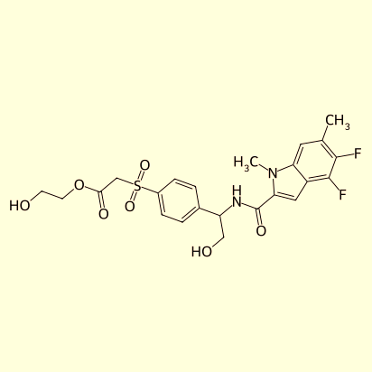 Cc1cc2c(cc(C(=O)NC(CO)c3ccc(S(=O)(=O)CC(=O)OCCO)cc3)n2C)c(F)c1F